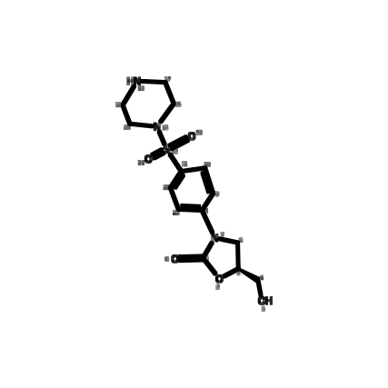 O=C1O[C@H](CO)CN1c1ccc(S(=O)(=O)N2CCNCC2)cc1